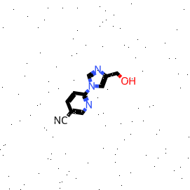 N#Cc1ccc(-n2cnc(CO)c2)nc1